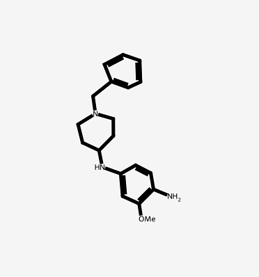 COc1cc(NC2CCN(Cc3ccccc3)CC2)ccc1N